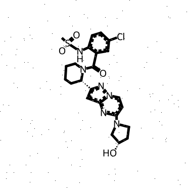 CS(=O)(=O)Nc1ccc(Cl)cc1C(=O)N1CCCC[C@H]1c1cc2nc(N3CC[C@H](O)C3)ccn2n1